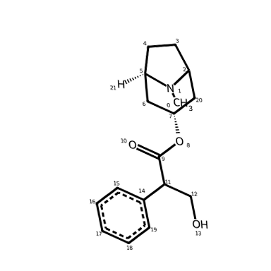 CN1C2CC[C@@H]1C[C@@H](OC(=O)C(CO)c1ccccc1)C2